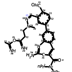 CCCN(CCC)C(=O)C1=Cc2ccc(-c3ccc(C=O)c(/C=N\N(C)CCC(=N)OC(C)=N)c3)cc2N=C(N)C1